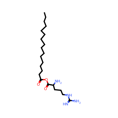 CCCCCCCCCCCCCCCC(=O)OC(=O)C(N)CCCNC(=N)N